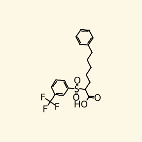 O=C(O)C(CCCCCc1ccccc1)S(=O)(=O)c1cccc(C(F)(F)F)c1